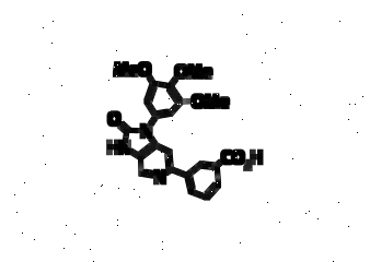 COc1cc(-n2c(=O)[nH]c3cnc(-c4cccc(C(=O)O)c4)cc32)cc(OC)c1OC